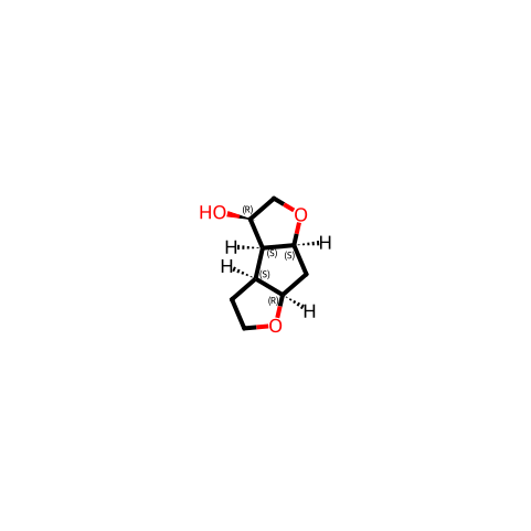 O[C@H]1CO[C@H]2C[C@H]3OCC[C@H]3[C@H]21